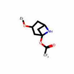 CCOC1CC2CC(OC(=O)C(F)(F)F)(C1)N2